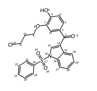 O=C(c1ccc(O)c(OCCCCl)c1)c1cn(S(=O)(=O)c2ccccc2)c2ccccc12